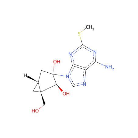 CSc1nc(N)c2ncn([C@]3(O)C[C@H]4C[C@@]4(CO)[C@@H]3O)c2n1